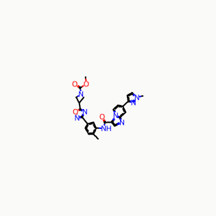 COC(=O)N1CC(c2nc(-c3ccc(C)c(NC(=O)c4cnc5cc(-c6ccn(C)n6)ccn45)c3)no2)C1